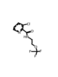 O=C(NCCOC(F)(F)F)c1ncccc1Cl